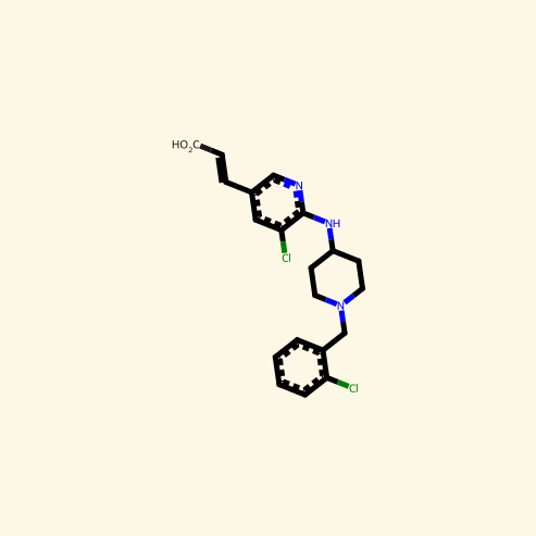 O=C(O)C=Cc1cnc(NC2CCN(Cc3ccccc3Cl)CC2)c(Cl)c1